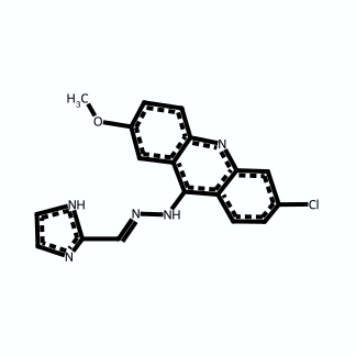 COc1ccc2nc3cc(Cl)ccc3c(NN=Cc3ncc[nH]3)c2c1